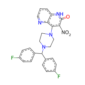 O=c1[nH]c2cccnc2c(N2CCN(C(c3ccc(F)cc3)c3ccc(F)cc3)CC2)c1[N+](=O)[O-]